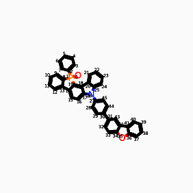 O=P1(c2ccccc2)c2ccccc2-c2ccc3c(c21)c1ccccc1n3-c1ccc(-c2ccc3oc4ccccc4c3c2)cc1